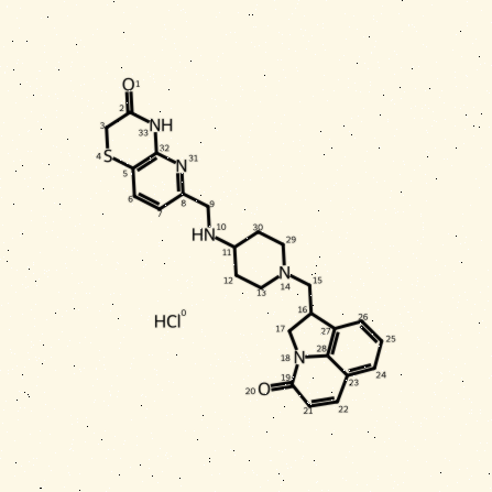 Cl.O=C1CSc2ccc(CNC3CCN(CC4Cn5c(=O)ccc6cccc4c65)CC3)nc2N1